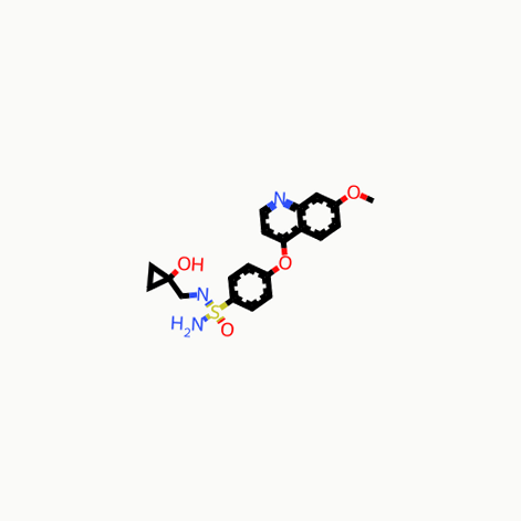 COc1ccc2c(Oc3ccc(S(N)(=O)=NCC4(O)CC4)cc3)ccnc2c1